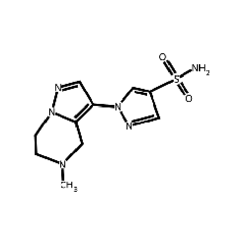 CN1CCn2ncc(-n3cc(S(N)(=O)=O)cn3)c2C1